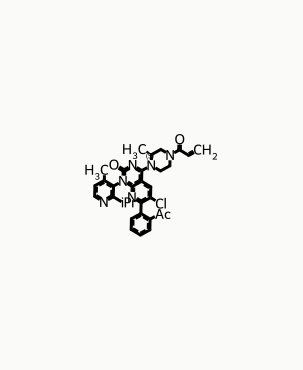 C=CC(=O)N1CCN(c2nc(=O)n(-c3c(C)ccnc3C(C)C)c3nc(-c4ccccc4C(C)=O)c(Cl)cc23)[C@@H](C)C1